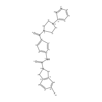 O=C(Nc1ccc(C(=O)N2CCN(c3cccnn3)CC2)cc1)N1Cc2ccc(F)cc2C1